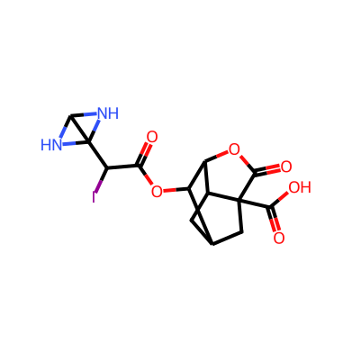 O=C(OC1C2CC3C1OC(=O)C3(C(=O)O)C2)C(I)C12NC1N2